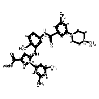 CNC(=O)c1cc(Nc2cc(NC(=O)c3cc(N4CCN(C)CC4)cc(C(F)(F)F)c3)ccc2C)n(-c2cc(C)nc(N)n2)n1